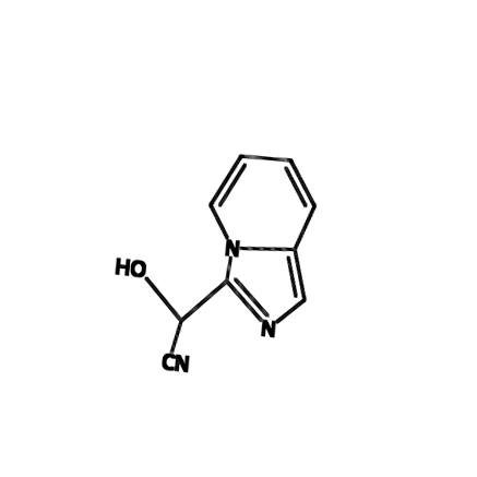 N#CC(O)c1ncc2ccccn12